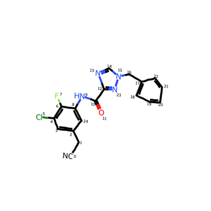 N#CCc1cc(Cl)c(F)c(NC(=O)c2ncn(Cc3ccccc3)n2)c1